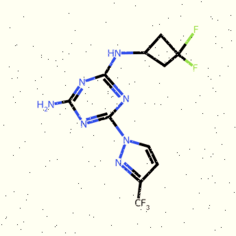 Nc1nc(NC2CC(F)(F)C2)nc(-n2ccc(C(F)(F)F)n2)n1